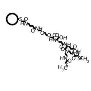 CSCC(=O)NCCN(CCNC(=O)CSC)C(=O)[C@H](CCC(=O)O)NC(=O)CC[C@H](NC(=O)COCCOCCNC(=O)CCCNC(=O)CSC1CCCCCCCCCCCC1)C(=O)O